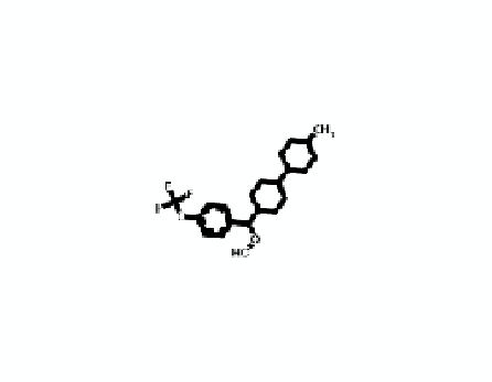 CC1CCC(C2CCC(C(OO)c3ccc(OC(F)(F)F)cc3)CC2)CC1